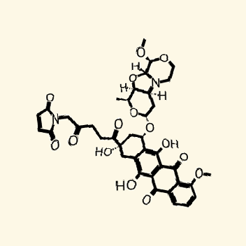 COc1cccc2c1C(=O)c1c(O)c3c(c(O)c1C2=O)C[C@@](O)(C(=O)CCC(=O)CN1C(=O)C=CC1=O)C[C@@H]3O[C@H]1C[C@H]2[C@H](O[C@@H]3[C@@H](OC)OCCN32)[C@H](C)O1